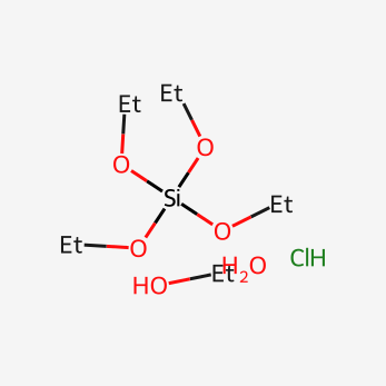 CCO.CCO[Si](OCC)(OCC)OCC.Cl.O